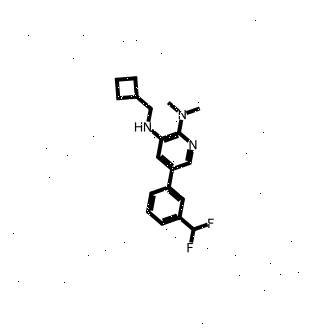 CN(C)c1ncc(-c2cccc(C(F)F)c2)cc1NCC1CCC1